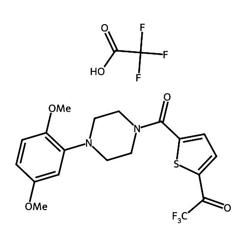 COc1ccc(OC)c(N2CCN(C(=O)c3ccc(C(=O)C(F)(F)F)s3)CC2)c1.O=C(O)C(F)(F)F